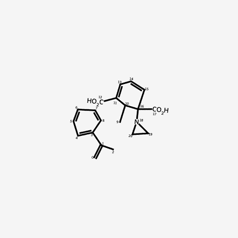 C=C(C)c1ccccc1.CC1C(C(=O)O)=CC=CC1(C(=O)O)N1CC1